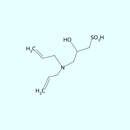 C=CCN(CC=C)CC(O)CS(=O)(=O)O